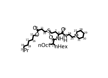 CCCCCCCCC(CCCCCC)C(=O)NC(CCSCCC(=O)OCCCCCC(C)C)C(=O)NCCN1CCCCC1